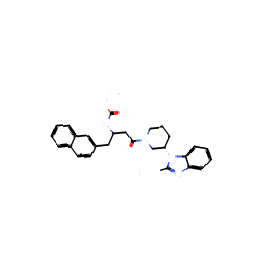 Cc1nc2ccccc2n1[C@@H]1CCCN(C(=O)CC(Cc2ccc3ccccc3c2)NC(=O)OC(C)(C)C)C1